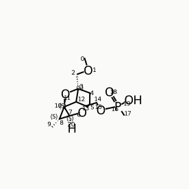 COC[C@@]12CCO[C@H]3[C@H](C)[C@]3(O1)C2CCOP(C)(=O)O